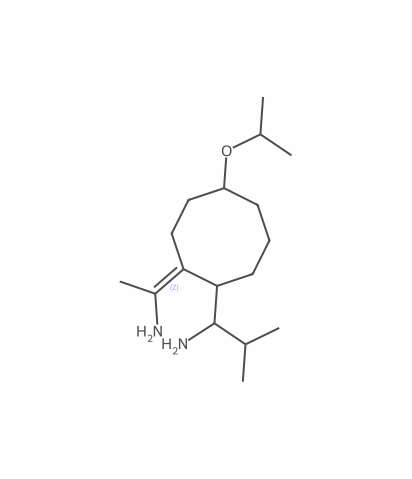 C/C(N)=C1\CCC(OC(C)C)CCCC1C(N)C(C)C